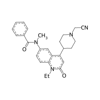 CCn1c(=O)cc(C2CCN(CC#N)CC2)c2cc(N(C)C(=O)c3ccccc3)ccc21